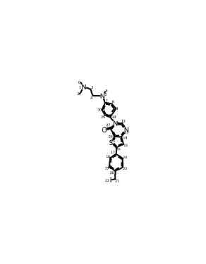 CN(C)CCN(C)c1ccc(-n2cnc3cc(-c4ccc(CI)cc4)sc3c2=O)cc1